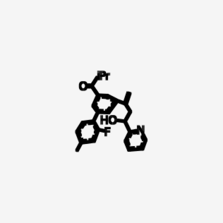 C=C(CC(O)c1ccccn1)c1cc(C(=O)C(C)C)cc(-c2ccc(C)cc2F)c1